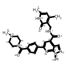 Cc1cc(C)c(CNC(=O)c2cc(-c3ccc(C(=O)N4CCN(C)CC4)cc3)nc3c2cnn3C(C)C)c(=O)[nH]1